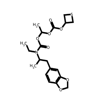 CCN(C(=O)OC(C)OC(=O)OC1CSC1)C(C)Cc1ccc2c(c1)OCO2